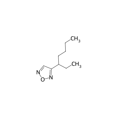 CCCCC(CC)c1cnon1